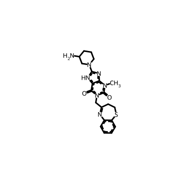 Cn1c(=O)n(CC2=Nc3ccccc3SCC2)c(=O)c2[nH]c(N3CCCC(N)C3)nc21